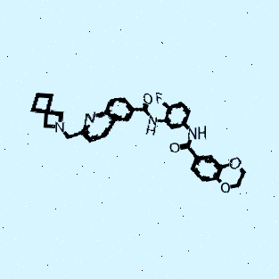 O=C(Nc1ccc(F)c(NC(=O)c2ccc3nc(CN4CC5(CCC5)C4)ccc3c2)c1)c1ccc2c(c1)OCCO2